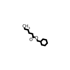 CCCC[CH]C(=O)OCC1CCCCC1